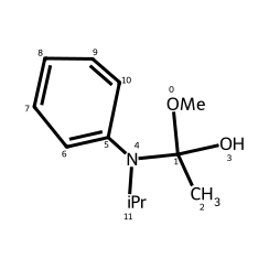 COC(C)(O)N(c1ccccc1)C(C)C